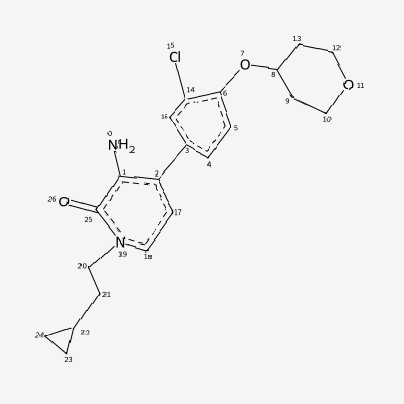 Nc1c(-c2ccc(OC3CCOCC3)c(Cl)c2)ccn(CCC2CC2)c1=O